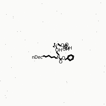 CCCCCCCCCCCCCCCCN(CCO)C(=O)OCc1ccccc1.C[N+](C)(C)CCOP(=O)(O)O